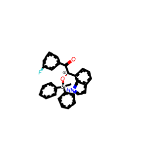 C[Si](O[C@H](C(=O)c1cccc(F)c1)c1cccc2cc[nH]c12)(c1ccccc1)c1ccccc1